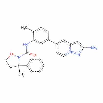 Cc1ccc(-c2ccn3nc(N)cc3c2)cc1NC(=O)N1OCC[C@@]1(C)c1ccccc1